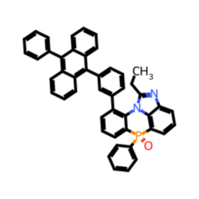 CCc1nc2cccc3c2n1-c1c(-c2cccc(-c4c5ccccc5c(-c5ccccc5)c5ccccc45)c2)cccc1P3(=O)c1ccccc1